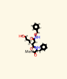 CNC(=O)[C@H](Cc1ccccc1)NC(=O)[C@H](CCCCO)CC(=O)NOCc1ccccc1